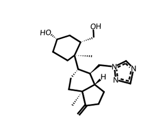 C=C1CC[C@H]2[C@H](Cn3cncn3)[C@@H]([C@@]3(C)CC[C@H](O)C[C@@H]3CO)CC[C@]12C